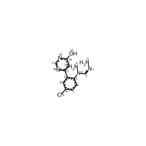 N/N=C\N(N)c1ccc(Cl)cc1-c1cc(O)ncn1